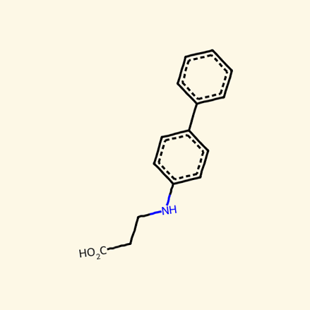 O=C(O)CCNc1ccc(-c2ccccc2)cc1